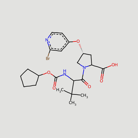 CC(C)(C)C(NC(=O)OC1CCCC1)C(=O)N1C[C@H](Oc2ccnc(Br)c2)CC1C(=O)O